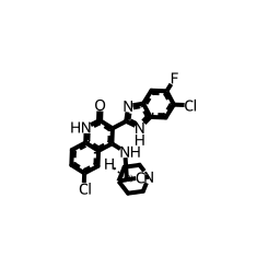 O=c1[nH]c2ccc(Cl)cc2c(N[C@H]2CN3CCC2CC3)c1-c1nc2cc(F)c(Cl)cc2[nH]1